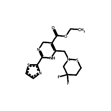 CCOC(=O)C1=C(CN2CC(F)(F)CCS2)NC(c2nccs2)=NC1